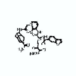 CNC(=O)C(=O)CC[C@H](NC(=O)c1ccc2ccoc2c1)C(=O)Nc1cccn(CC(=O)NC2C3CC4CC2CC(C(N)=O)(C4)C3)c1=O